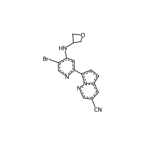 N#Cc1cnn2c(-c3cc(NC4COC4)c(Br)cn3)ccc2c1